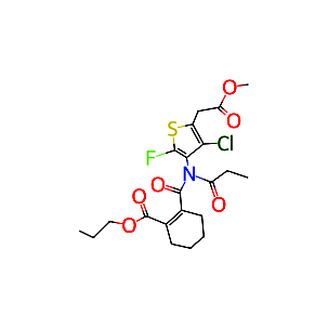 CCCOC(=O)C1=C(C(=O)N(C(=O)CC)c2c(F)sc(CC(=O)OC)c2Cl)CCCC1